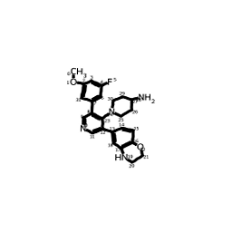 COc1cc(F)cc(-c2cncc(-c3ccc4c(c3)NCCO4)c2N2CCC(N)CC2)c1